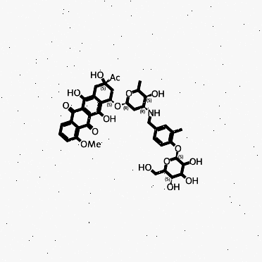 COc1cccc2c1C(=O)c1c(O)c3c(c(O)c1C2=O)C[C@@](O)(C(C)=O)C[C@@H]3O[C@H]1C[C@@H](NCc2ccc(O[C@@H]3OC(CO)[C@@H](O)C(O)C3O)c(C)c2)[C@H](O)C(C)O1